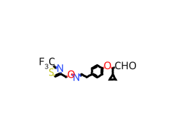 O=CC(Oc1ccc(CC=NOCc2csc(C(F)(F)F)n2)cc1)C1CC1